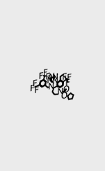 CCc1cc2c(cc1C(F)(F)F)N(C(=O)OC1CCCC1)CCCC2N(Cc1cc(C(F)(F)F)cc(C(F)(F)F)c1)c1nnn(C)n1